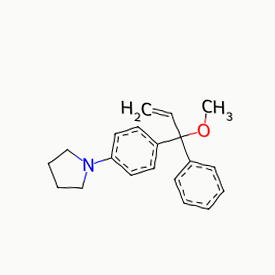 C=CC(OC)(c1ccccc1)c1ccc(N2CCCC2)cc1